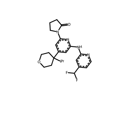 CC(C)C1(c2cc(Nc3cc(C(F)F)ccn3)nc(N3CCCC3=O)c2)CCOCC1